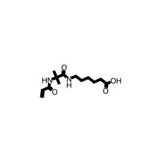 C=CC(=O)NC(C)(C)C(=O)NCCCCCC(=O)O